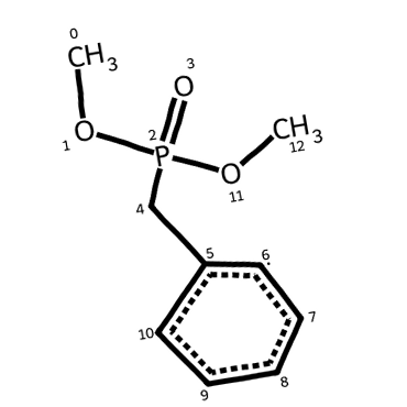 COP(=O)(Cc1[c]cccc1)OC